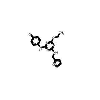 CCOc1nc(NCc2ccco2)nc(Nc2ccc(Cl)cc2)n1